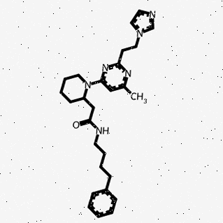 Cc1cc(N2CCCCC2CC(=O)NCCCCc2ccccc2)nc(CCn2ccnc2)n1